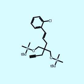 C#CCC(C/C=C/c1ccccc1Cl)(CO[Si](C)(C)C(C)(C)C)CO[Si](C)(C)C(C)(C)C